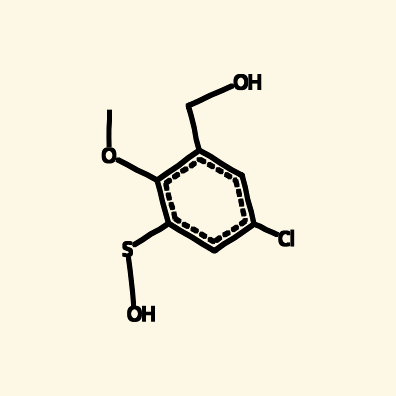 COc1c(CO)cc(Cl)cc1SO